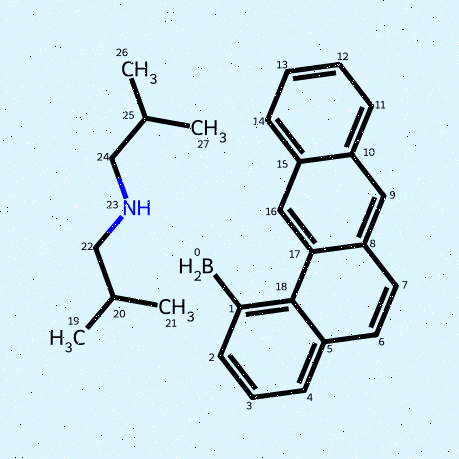 Bc1cccc2ccc3cc4ccccc4cc3c12.CC(C)CNCC(C)C